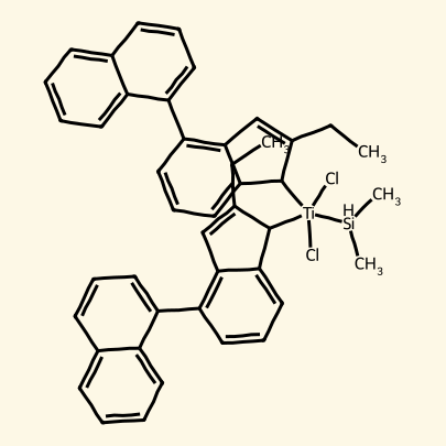 CCC1=Cc2c(-c3cccc4ccccc34)cccc2[CH]1[Ti]([Cl])([Cl])([CH]1C(CC)=Cc2c(-c3cccc4ccccc34)cccc21)[SiH](C)C